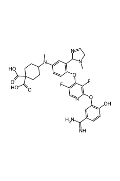 CN1CC=NC1c1cc(N(C)C2CCC(C(=O)O)(C(=O)O)CC2)ccc1Oc1c(F)cnc(Oc2cc(C(=N)N)ccc2O)c1F